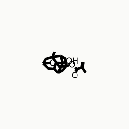 C=C(C)C(=O)OC12CC3C4CC5CC3(C)C(C1)C(O)(C5)C4C2